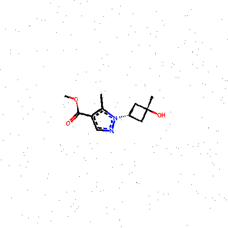 COC(=O)c1cnn([C@H]2C[C@@](C)(O)C2)c1C